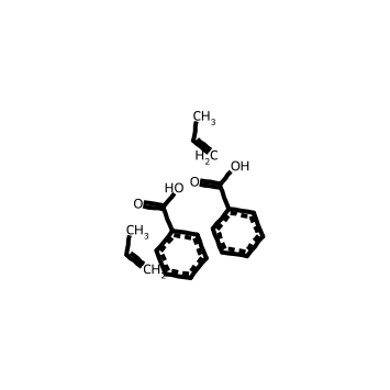 C=CC.C=CC.O=C(O)c1ccccc1.O=C(O)c1ccccc1